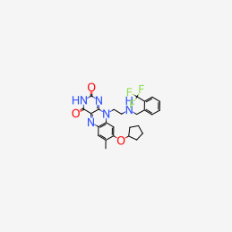 Cc1cc2nc3c(=O)[nH]c(=O)nc-3n(CCNCc3ccccc3C(F)(F)F)c2cc1OC1CCCC1